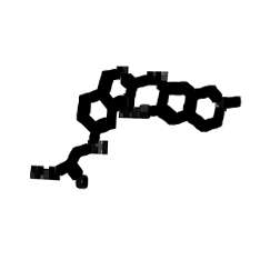 CNC(=O)CNc1ccc2cnc(Nc3cc4c(cc3OC)CCN(C)C4)nc2c1